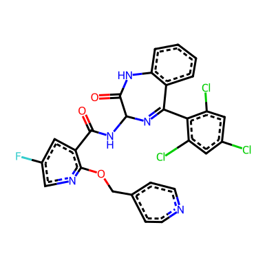 O=C(NC1N=C(c2c(Cl)cc(Cl)cc2Cl)c2ccccc2NC1=O)c1cc(F)cnc1OCc1ccncc1